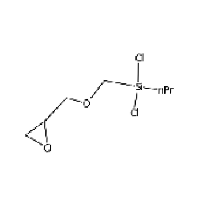 CCC[Si](Cl)(Cl)COCC1CO1